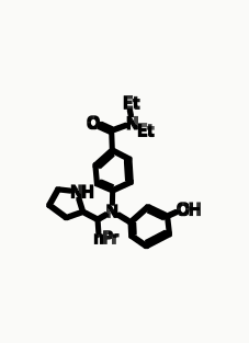 CCCC(C1CCCN1)N(c1ccc(C(=O)N(CC)CC)cc1)c1cccc(O)c1